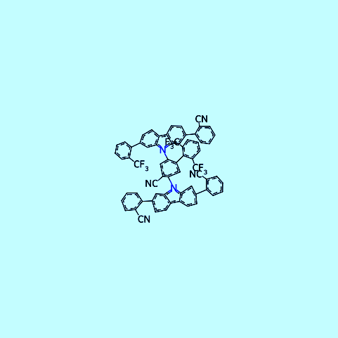 N#Cc1ccccc1-c1ccc2c3ccc(-c4ccccc4C#N)cc3n(-c3cc(-c4c(C(F)(F)F)cccc4C(F)(F)F)c(-n4c5cc(-c6ccccc6C#N)ccc5c5ccc(-c6ccccc6C(F)(F)F)cc54)cc3C#N)c2c1